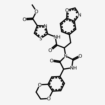 COC(=O)c1csc(NC(=O)C(Cc2ccc3ocnc3c2)N2C(=O)NC(c3ccc4c(c3)OCCO4)C2=O)n1